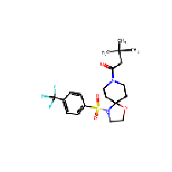 CC(C)(C)CC(=O)N1CCC2(CC1)OCCN2S(=O)(=O)c1ccc(C(F)(F)F)cc1